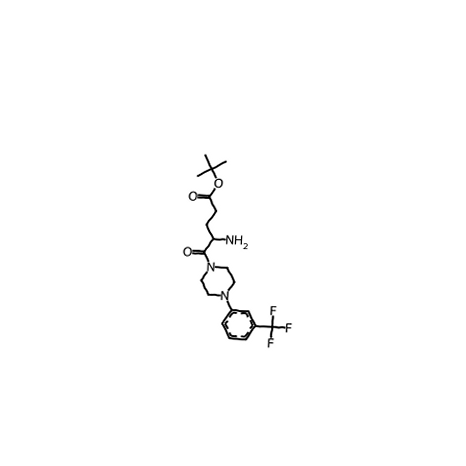 CC(C)(C)OC(=O)CCC(N)C(=O)N1CCN(c2cccc(C(F)(F)F)c2)CC1